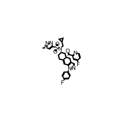 Cn1cc(S(=O)(=O)N(CC2CC2)[C@H]2CCC3=Cc4c(cnn4-c4ccc(F)cc4)C[C@]3(C(=O)c3cc(F)ccn3)C2)nn1